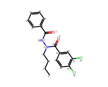 CCCCN(NC(=O)c1ccccc1)C(=O)c1ccc(Cl)c(Cl)c1